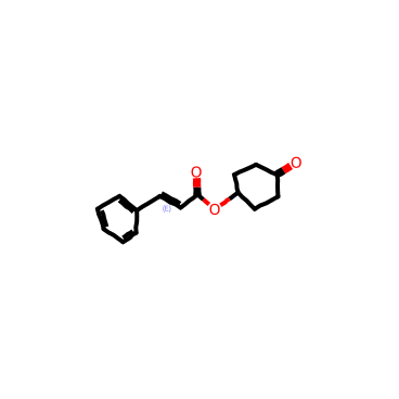 O=C1CCC(OC(=O)/C=C/c2ccccc2)CC1